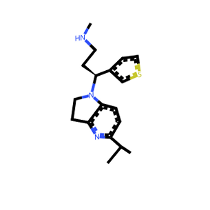 CNCC[C@@H](c1ccsc1)N1CCc2nc(C(C)C)ccc21